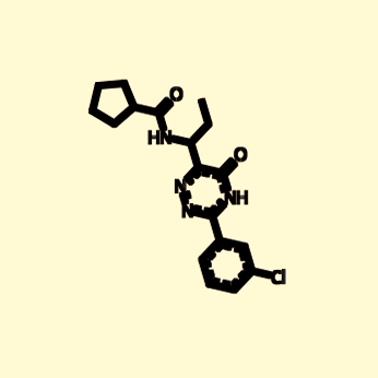 CCC(NC(=O)C1CCCC1)c1nnc(-c2cccc(Cl)c2)[nH]c1=O